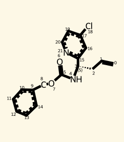 C=CC[C@H](NC(=O)OCc1ccccc1)c1cc(Cl)ccn1